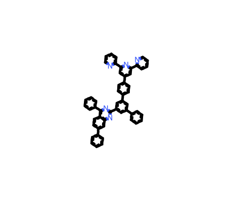 c1ccc(-c2cc(-c3ccc(-c4cc(-c5ccccn5)nc(-c5ccccn5)c4)cc3)cc(-c3nc(-c4ccccc4)c4ccc(-c5ccccc5)cc4n3)c2)cc1